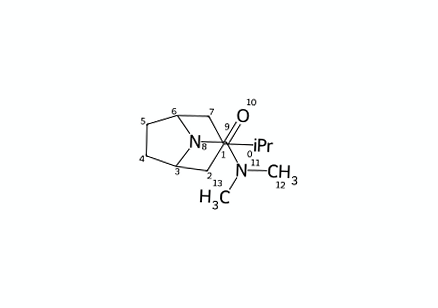 CC(C)C1CC2CCC(C1)N2C(=O)N(C)C